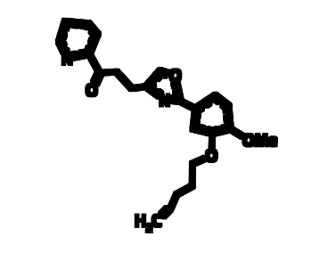 C=CCCCOc1cc(-c2nc(CCC(=O)c3ccccn3)co2)ccc1OC